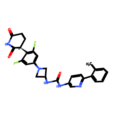 Cc1ccccc1-c1ccc(NC(=O)NC2CN(c3cc(F)c([C@H]4CCC(=O)NC4=O)c(F)c3)C2)cn1